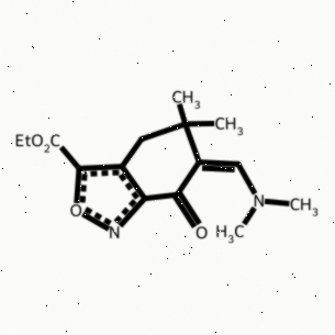 CCOC(=O)c1onc2c1CC(C)(C)C(=CN(C)C)C2=O